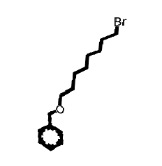 BrCCCCCCCCOCc1ccccc1